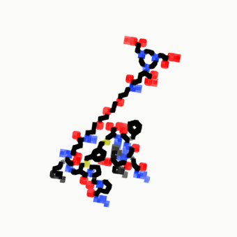 CCCC[C@H](NC(=O)CCC(=O)NCCCOCCOCCOCCCNC(=O)CCC(C(=O)O)N1CCN(CC(=O)O)CCN(CC(=O)O)CC1)C(=O)/N=C\C(CSCc1cccc(CSCC(NC(=O)[C@H](Cc2ccccc2)NC(=O)[C@H](CCC(N)=O)NC(=O)[C@@H](C)[C@@H](C)O)C(=O)O)c1)C(=O)N1CCC[C@H]1C(=O)N1CCC[C@H]1C(N)=O